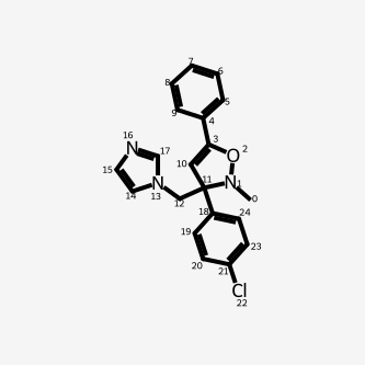 CN1OC(c2ccccc2)=CC1(Cn1ccnc1)c1ccc(Cl)cc1